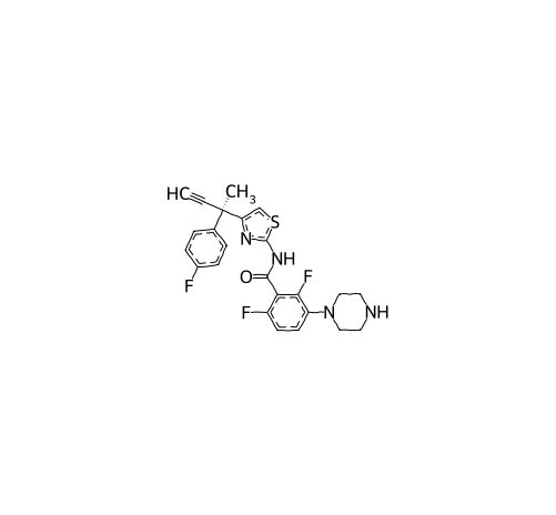 C#C[C@](C)(c1ccc(F)cc1)c1csc(NC(=O)c2c(F)ccc(N3CCNCC3)c2F)n1